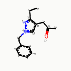 [CH2]Cc1nn(Cc2ccccc2)cc1CC(C)=O